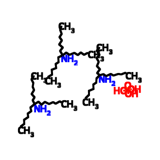 CCCCCCCCC(N)(CCCCCCCC)CCCCCCCC.CCCCCCCCC(N)(CCCCCCCC)CCCCCCCC.CCCCCCCCC(N)(CCCCCCCC)CCCCCCCC.O=P(O)(O)O